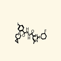 Cc1cc(C(=O)NNC(=O)c2ccc(I)cc2N2CCC3(CC2)CC3)nc(N2CCCC(F)C2)n1